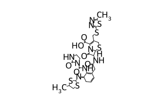 Cc1nnc(SCC2=C(C(=O)O)N3C(=O)C(NC(=O)CC4=C(NC(=O)N5CCNC5=O)C(=NC5SCC(C)S5)CC=C4)[C@@H]3SC2)s1